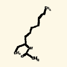 CCCCCCCC(CC)NC(C)=O